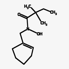 CCC(C)(C)C(=O)N(O)CC1=CCCCC1